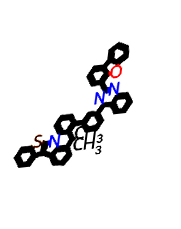 CC1(C)c2c(-c3cccc(-c4nc(-c5cccc6c5oc5ccccc56)nc5ccccc45)c3)cccc2-n2c3sc4ccccc4c3c3cccc1c32